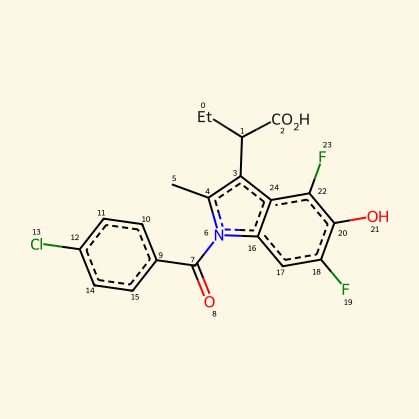 CCC(C(=O)O)c1c(C)n(C(=O)c2ccc(Cl)cc2)c2cc(F)c(O)c(F)c12